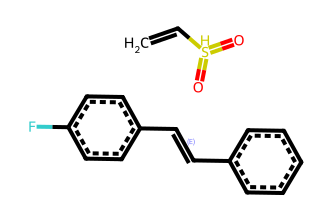 C=C[SH](=O)=O.Fc1ccc(/C=C/c2ccccc2)cc1